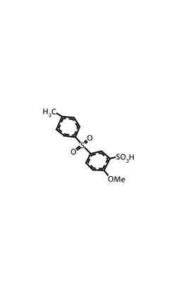 COc1ccc(S(=O)(=O)c2ccc(C)cc2)cc1S(=O)(=O)O